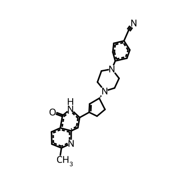 Cc1ccc2c(=O)[nH]c(C3=C[C@H](N4CCN(c5ccc(C#N)cc5)CC4)CC3)cc2n1